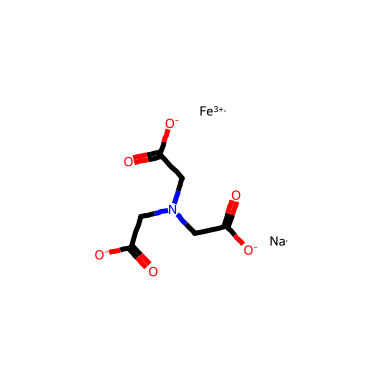 O=C([O-])CN(CC(=O)[O-])CC(=O)[O-].[Fe+3].[Na]